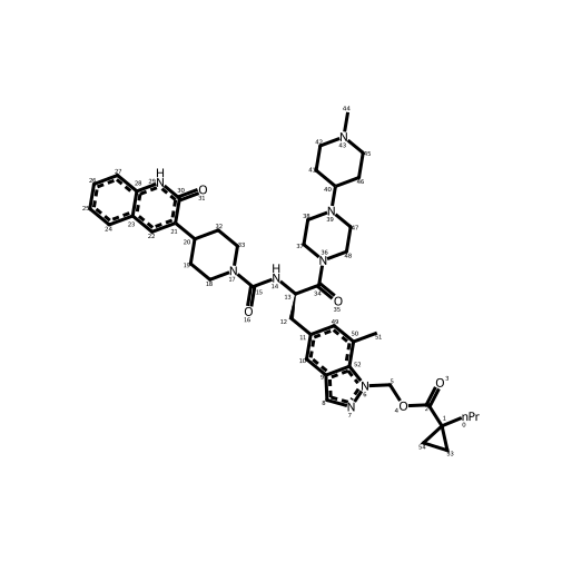 CCCC1(C(=O)OCn2ncc3cc(C[C@@H](NC(=O)N4CCC(c5cc6ccccc6[nH]c5=O)CC4)C(=O)N4CCN(C5CCN(C)CC5)CC4)cc(C)c32)CC1